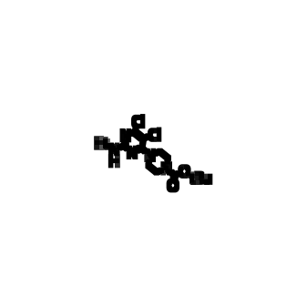 CCNc1nc(Cl)c(Cl)c(N2CCN(C(=O)OC(C)(C)C)CC2)n1